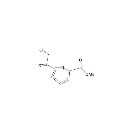 COC(=O)c1cccc(C(=O)CCl)n1